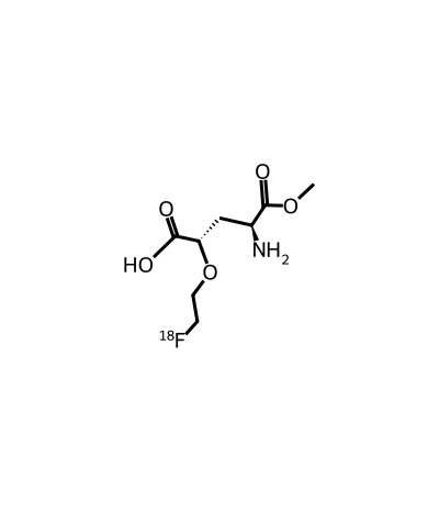 COC(=O)[C@@H](N)C[C@H](OCC[18F])C(=O)O